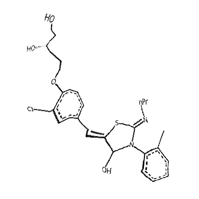 CCC/N=C1\S/C(=C\c2ccc(OC[C@H](O)CO)c(Cl)c2)C(O)N1c1ccccc1C